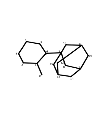 CC1CCCC[C]1C12CC3CC(CC(C3)C1)C2